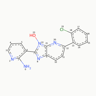 Nc1ncccc1-c1nc2ccc(-c3ccccc3Cl)nc2n1O